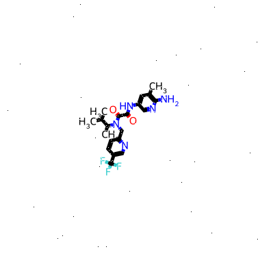 Cc1cc(NC(=O)C(=O)N(Cc2ccc(C(F)(F)F)cn2)C(C)C(C)C)cnc1N